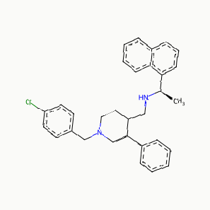 C[C@@H](NCC1CCN(Cc2ccc(Cl)cc2)CC1c1ccccc1)c1cccc2ccccc12